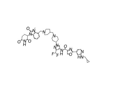 Cn1c(=O)n(C2CCC(=O)NC2=O)c2cccc(CN3CCC(CN4CCC(n5cc(NC(=O)c6coc(-c7ccnc(NCC8CC8)c7)n6)c(C(F)F)n5)CC4)CC3)c21